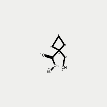 CCOC(=O)C1(CC#N)CCC1